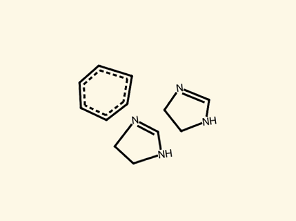 C1=NCCN1.C1=NCCN1.c1ccccc1